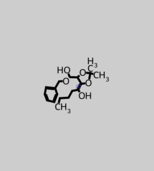 CCCC/C(O)=C1/OC(C)(C)OC1C(O)OCc1ccccc1